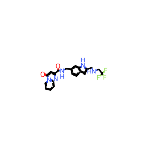 O=C(NCc1ccc2cc(CNCC(F)(F)F)[nH]c2c1)c1cc(=O)n2ccccc2n1